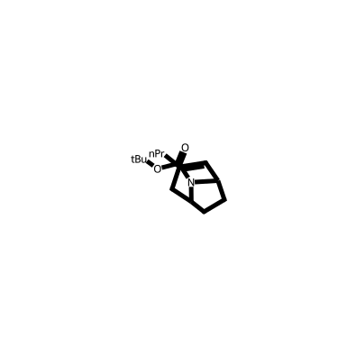 CCCC1=CC2CCC(C1)N2C(=O)OC(C)(C)C